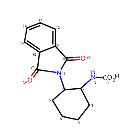 O=C(O)NC1CCCCC1N1C(=O)c2ccccc2C1=O